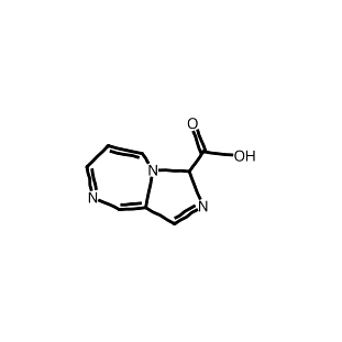 O=C(O)C1N=CC2=CN=CC=CN21